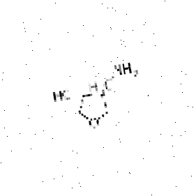 C1CCOC1.CN.Cl